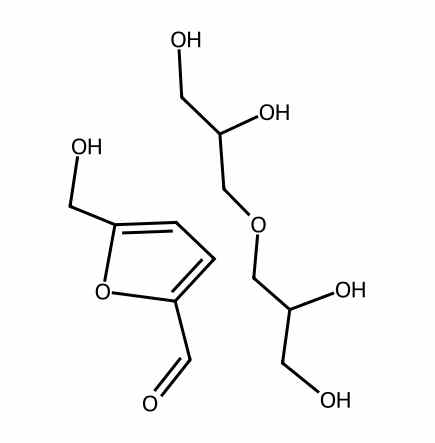 O=Cc1ccc(CO)o1.OCC(O)COCC(O)CO